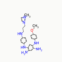 CCOc1ccc(Nc2cc(Nc3ccc(NCCCn4cc[n+](C)c4)cc3)c(N)cc2N)cc1